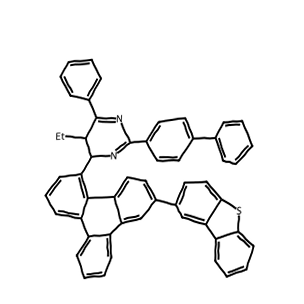 CCC1C(c2ccccc2)=NC(c2ccc(-c3ccccc3)cc2)=NC1c1cccc2c3ccccc3c3cc(-c4ccc5sc6ccccc6c5c4)ccc3c12